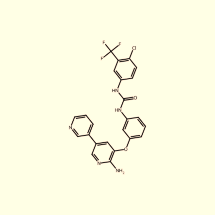 Nc1ncc(-c2cccnc2)cc1Oc1cccc(NC(=O)Nc2ccc(Cl)c(C(F)(F)F)c2)c1